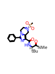 CNC(=O)[C@@H](NC(=O)c1nc(-c2ccccc2)n2c1CN(S(C)(=O)=O)CC2)C(C)(C)C